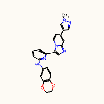 Cn1cc(-c2ccn3c(-c4cccc(Nc5ccc6c(c5)OCCO6)n4)cnc3c2)cn1